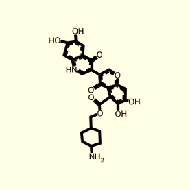 NC1CCC(COC(=O)c2c(O)c(O)cc3occ(-c4c[nH]c5cc(O)c(O)cc5c4=O)c(=O)c23)CC1